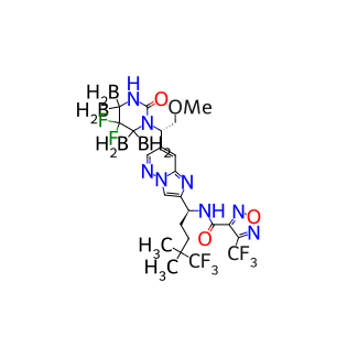 BC1(B)NC(=O)N([C@H](COC)c2cnn3cc([C@H](CCC(C)(C)C(F)(F)F)NC(=O)c4nonc4C(F)(F)F)nc3c2)C(B)(B)C1(F)F